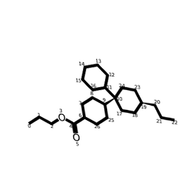 CCCOC(=O)C1CCC([C@]2(C3CCCCC3)CC[C@H](CCC)CC2)CC1